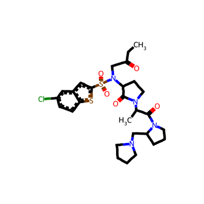 CCC(=O)CN(C1CCN(C(C)C(=O)N2CCCC2CN2CCCC2)C1=O)S(=O)(=O)c1cc2cc(Cl)ccc2s1